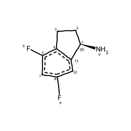 N[C@@H]1CCc2c(F)cc(F)cc21